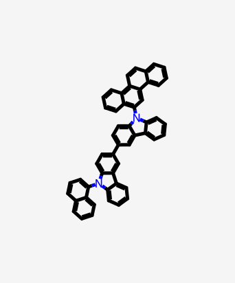 c1ccc2c(-n3c4ccccc4c4cc(-c5ccc6c(c5)c5ccccc5n6-c5cc6c7ccccc7ccc6c6ccccc56)ccc43)cccc2c1